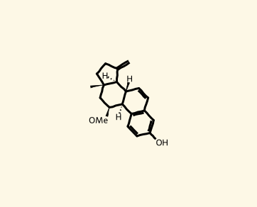 C=C1CC[C@@]2(C)C[C@H](OC)[C@@H]3c4ccc(O)cc4C=C[C@H]3[C@H]12